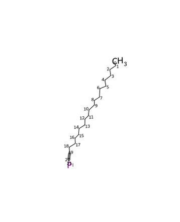 CCCCCCCCCCCCCCCCCCCC#C[P]